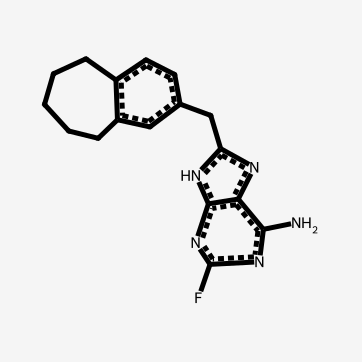 Nc1nc(F)nc2[nH]c(Cc3ccc4c(c3)CCCCC4)nc12